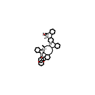 C=C1CC2C(CCc3ccc4c(oc5ccccc54)c3-c3n(-c4ccccc4)c4ccccc4[n+]31)c1ccccc1-c1cc(-c3ccccc3C#N)c([Si](C)(C)C)c[n+]12